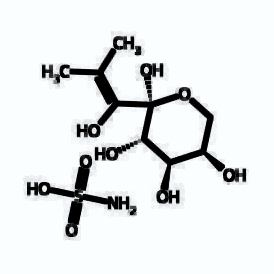 CC(C)=C(O)[C@@]1(O)OC[C@@H](O)[C@@H](O)[C@@H]1O.NS(=O)(=O)O